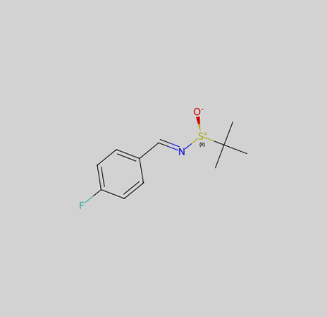 CC(C)(C)[S@+]([O-])N=Cc1ccc(F)cc1